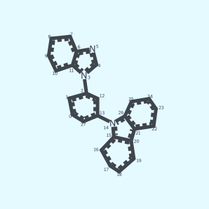 c1cc(-n2cnc3ccccc32)cc(-n2c3ccccc3c3ccccc32)c1